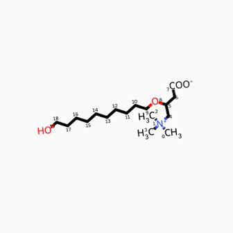 C[N+](C)(C)CC(CC(=O)[O-])OCCCCCCCCCCO